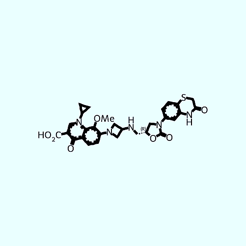 COc1c(N2CC(NC[C@@H]3CN(c4ccc5c(c4)NC(=O)CS5)C(=O)O3)C2)ccc2c(=O)c(C(=O)O)cn(C3CC3)c12